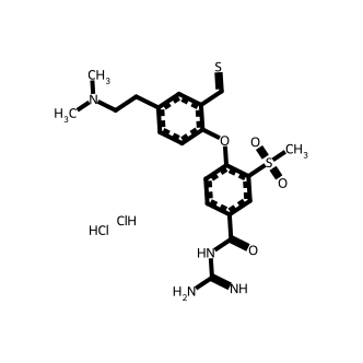 CN(C)CCc1ccc(Oc2ccc(C(=O)NC(=N)N)cc2S(C)(=O)=O)c(C=S)c1.Cl.Cl